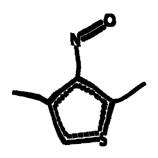 Cc1csc(C)c1N=O